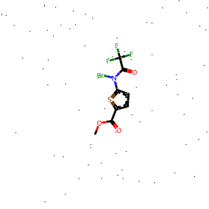 COC(=O)c1ccc(N(Br)C(=O)C(F)(F)F)s1